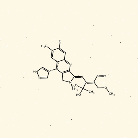 COC/C(C=O)=C(/C=C1/c2nc3cc(F)c(C)cc3c(-c3cn[nH]c3)c2CN1C)C(C)(C)O